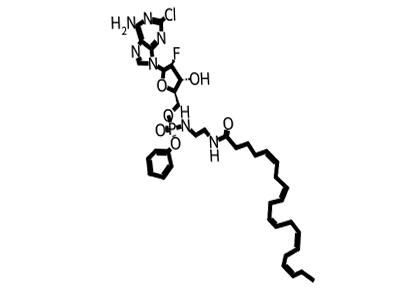 CC/C=C\C/C=C\C/C=C\C/C=C\C/C=C\CCCC(=O)NCCNP(=O)(OC[C@H]1OC(n2cnc3c(N)nc(Cl)nc32)[C@@H](F)[C@@H]1O)Oc1ccccc1